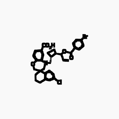 C=CC(OC(=O)c1ccc(Br)cc1)[C@@H]1CC[C@H]1CN1C[C@@]2(CCCc3cc(Cl)ccc32)COc2ccc(C(=O)O)cc21